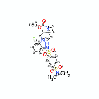 CCCCOC(=O)N1CCC12CCN(c1c(F)cccc1NS(=O)(=O)c1ccc(S(=O)(=O)N(C)C)cc1)CC2